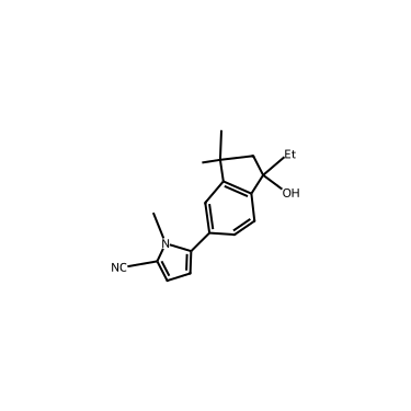 CCC1(O)CC(C)(C)c2cc(-c3ccc(C#N)n3C)ccc21